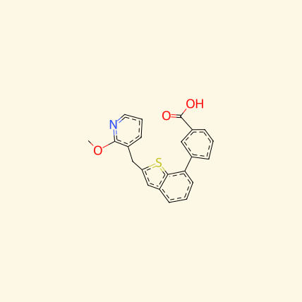 COc1ncccc1Cc1cc2cccc(-c3cccc(C(=O)O)c3)c2s1